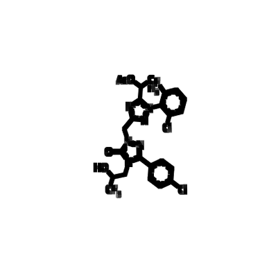 CC(=O)OC(C)c1nc(Cn2nc(-c3ccc(Cl)cc3)n(CC(O)C(F)(F)F)c2=O)nn1-c1c(F)cccc1Cl